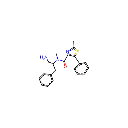 Cc1nc(C(=O)N(C)[C@H](CN)Cc2ccccc2)c(-c2ccccc2)s1